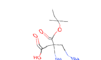 CC(C)(C)OC(=O)C(N)(CN)C(=O)O